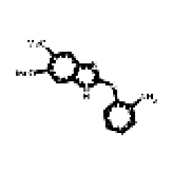 COc1cc2nc(Sc3ccccc3N)[nH]c2cc1OC